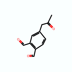 CC(=O)Cc1ccc(C=O)c(C=O)c1